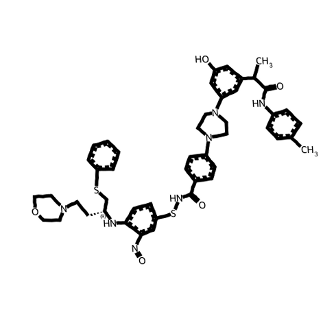 Cc1ccc(NC(=O)C(C)c2cc(O)cc(N3CCN(c4ccc(C(=O)NSc5ccc(N[C@H](CCN6CCOCC6)CSc6ccccc6)c(N=O)c5)cc4)CC3)c2)cc1